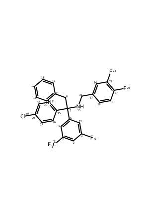 Fc1cc(C(F)(F)F)cc(C(Cc2ccccc2)(NCc2ccc(F)c(F)c2)c2ccc(Cl)cn2)c1